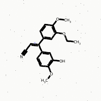 CCOc1cc(/C(=C/C#N)c2ccc(OC)c(O)c2)ccc1OC